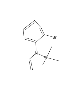 C=CN(c1ccccc1Br)[Si](C)(C)C